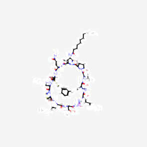 CCCCCCCCCCCCCCCCCC(=O)N[C@H]1C[C@H]2C(=O)NC(CCC(N)=O)C(=O)N[C@@H]3CSCc4cccc(c4)CSC[C@@H](NC(=O)[C@H](CCCC(=O)O)NC(=O)NC(=O)C([C@@H](C)O)NC(=O)[C@@H](CCC(=O)O)NC(=O)[C@@H]4CSCN4C(=O)C(CC(=O)O)NC3=O)C(=O)N[C@@H](CC(C)C)C(=O)N3CCC[C@@H]3C(=O)N2C1